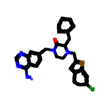 Nc1ncnc2cc(CN3CCN(Cc4cc5ccc(Cl)cc5s4)C(Cc4ccccc4)C3=O)ccc12